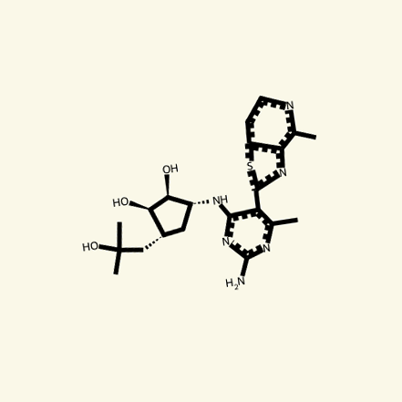 Cc1nc(N)nc(N[C@@H]2C[C@H](CC(C)(C)O)[C@@H](O)[C@H]2O)c1-c1nc2c(C)nccc2s1